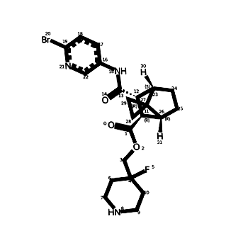 O=C(OCC1(F)CCNCC1)[C@H]1[C@H](C(=O)Nc2ccc(Br)nc2)[C@@H]2CC[C@H]1C21CC1